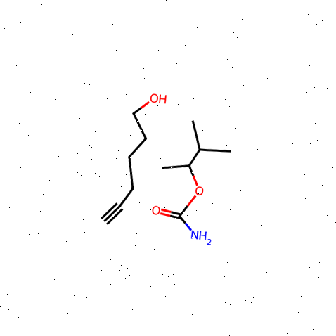 C#CCCCCO.CC(C)C(C)OC(N)=O